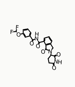 O=C1CCC(N2Cc3cccc(C(=O)NC(=O)c4cccc(OC(F)F)c4)c3C2=O)C(=O)N1